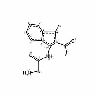 CC(=O)c1c(C)c2ccccc2n1NC(=O)CN